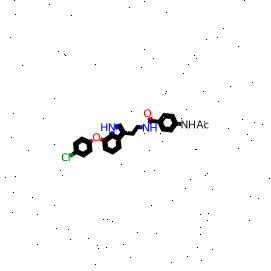 CC(=O)Nc1ccc(C(=O)NCCc2c[nH]c3c(Oc4ccc(Cl)cc4)cccc23)cc1